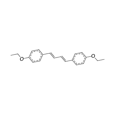 CCOc1ccc(/C=C/C=C/c2ccc(OCC)cc2)cc1